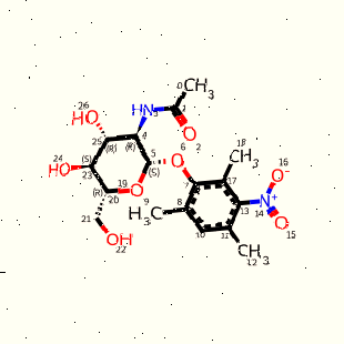 CC(=O)N[C@H]1[C@H](Oc2c(C)cc(C)c([N+](=O)[O-])c2C)O[C@H](CO)[C@@H](O)[C@@H]1O